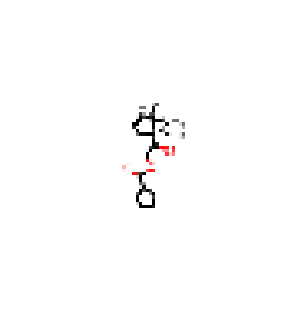 CC1(C)C=CC[C@@]1(C)C(=O)COC(=O)C1CCCC1